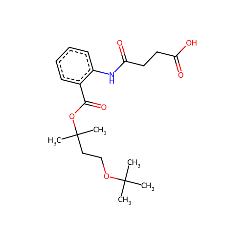 CC(C)(C)OCCC(C)(C)OC(=O)c1ccccc1NC(=O)CCC(=O)O